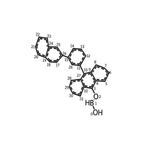 OBOc1c2ccccc2c(-c2cccc(-c3ccc4ccccc4c3)c2)c2ccccc12